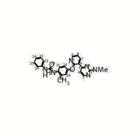 CNc1nccc(-c2cccnc2Oc2ccc(NC(=O)Nc3ccccc3)c(C)c2)n1